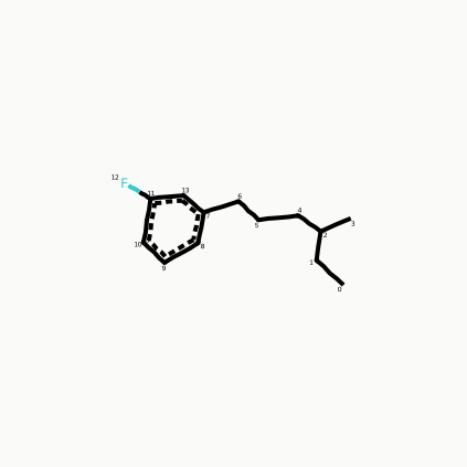 CCC(C)CCCc1cccc(F)c1